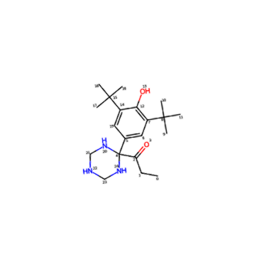 CCC(=O)C1(c2cc(C(C)(C)C)c(O)c(C(C)(C)C)c2)NCNCN1